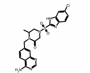 CC1CN(S(=O)(=O)c2nc3ccc(Cl)cc3[nH]2)CC(=O)N1Cc1ccc2c(N)ncnc2c1